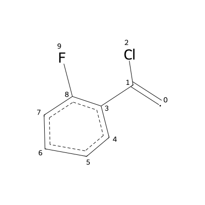 [CH]=C(Cl)c1ccccc1F